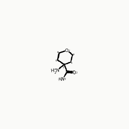 [NH]C(=O)C1(N)CCOCC1